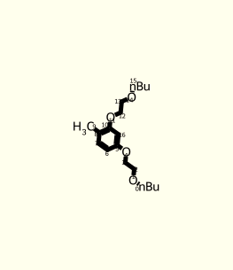 CCCCOCCOc1ccc(C)c(OCCOCCCC)c1